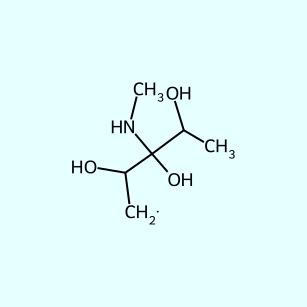 [CH2]C(O)C(O)(NC)C(C)O